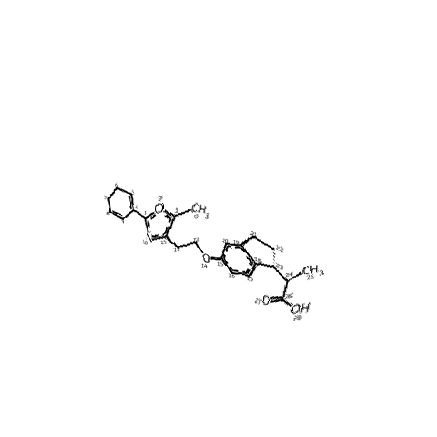 Cc1oc(C2=CCCC=C2)nc1CCOc1ccc2c(c1)CC[C@@H]2[C@@H](C)C(=O)O